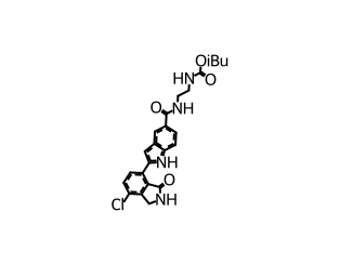 CC(C)COC(=O)NCCNC(=O)c1ccc2[nH]c(-c3ccc(Cl)c4c3C(=O)NC4)cc2c1